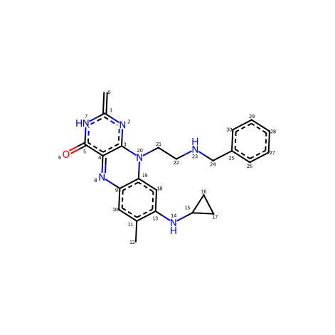 C=c1nc2c(c(=O)[nH]1)=Nc1cc(C)c(NC3CC3)cc1N2CCNCc1ccccc1